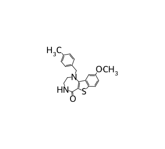 COc1ccc2sc3c(c2c1)N(Cc1ccc(C)cc1)CCNC3=O